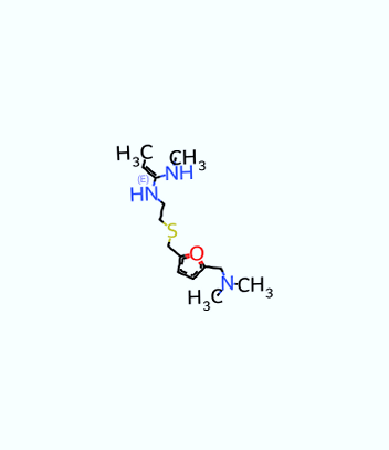 C/C=C(\NC)NCCSCc1ccc(CN(C)C)o1